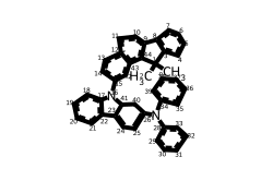 CC1(C)c2ccccc2-c2ccc3ccc(N4c5ccccc5C5=CC=C(N(c6ccccc6)c6ccccc6)CC54)cc3c21